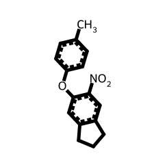 Cc1ccc(Oc2cc3c(cc2[N+](=O)[O-])CCC3)cc1